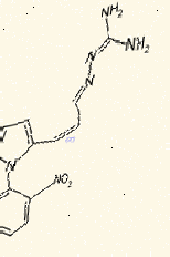 NC(N)=NN=C/C=C\c1cccn1-c1ccccc1[N+](=O)[O-]